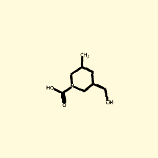 CC1CC(CO)CN(C(=O)O)C1